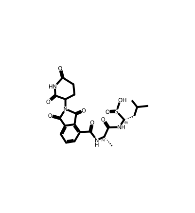 CC(C)C[C@H](NC(=O)[C@H](C)NC(=O)c1cccc2c1C(=O)N(C1CCC(=O)NC1=O)C2=O)S(=O)O